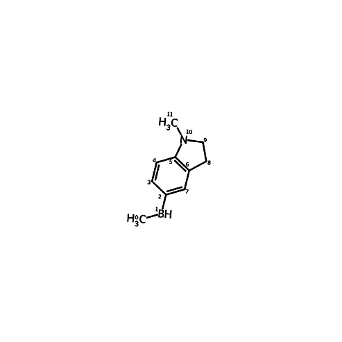 CBc1ccc2c(c1)CCN2C